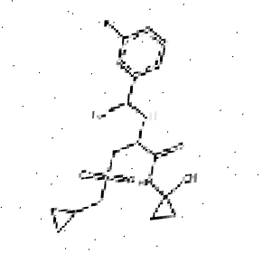 N#CC1(NC(=O)C(CS(=O)(=O)CC2CC2)N[C@H](c2cccc(F)c2)C(F)(F)F)CC1